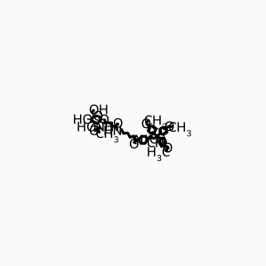 [CH2]C1(COC(c2ccc(OC)cc2)(c2ccc(OC)cc2)c2ccc(OC)cc2)CCN(C(=O)CCCCCNC(=O)CCCO[C@@H]2O[C@H](CO)[C@H](O)[C@H](O)[C@H]2NC(C)=O)CC1